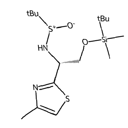 Cc1csc([C@@H](CO[Si](C)(C)C(C)(C)C)N[S+]([O-])C(C)(C)C)n1